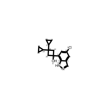 OC1(c2cc(Cl)cc3cn[nH]c23)CC(C2CC2)(C2CC2)C1